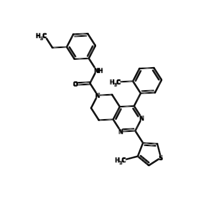 CCc1cccc(NC(=O)N2CCc3nc(-c4cscc4C)nc(-c4ccccc4C)c3C2)c1